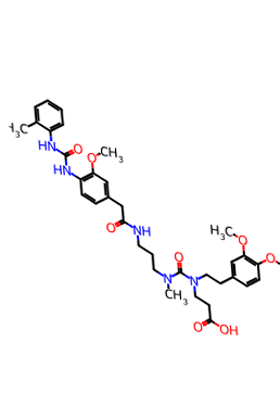 COc1cc(CC(=O)NCCCN(C)C(=O)N(CCC(=O)O)CCc2ccc(OC)c(OC)c2)ccc1NC(=O)Nc1ccccc1C